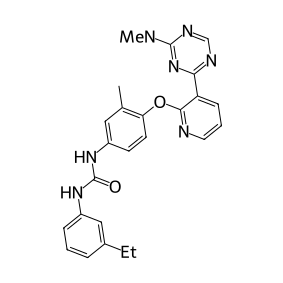 CCc1cccc(NC(=O)Nc2ccc(Oc3ncccc3-c3ncnc(NC)n3)c(C)c2)c1